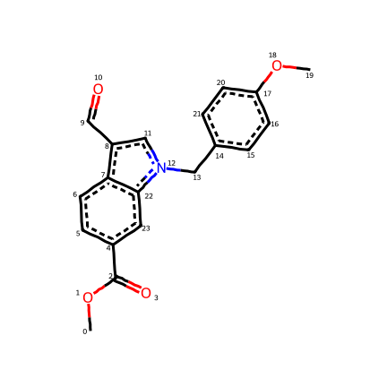 COC(=O)c1ccc2c(C=O)cn(Cc3ccc(OC)cc3)c2c1